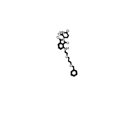 O=C1CCC(N2C(=O)c3cccc(NCCOCCCOCc4ccccc4)c3C2=O)C(=O)N1